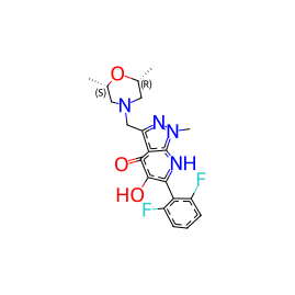 C[C@@H]1CN(Cc2nn(C)c3[nH]c(-c4c(F)cccc4F)c(O)c(=O)c23)C[C@H](C)O1